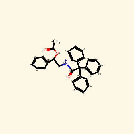 CC(=O)OC(CNC(=O)C(c1ccccc1)(c1ccccc1)c1ccccc1)c1ccccc1